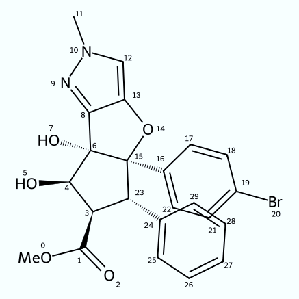 COC(=O)[C@H]1[C@@H](O)[C@@]2(O)c3nn(C)cc3O[C@@]2(c2ccc(Br)cc2)[C@@H]1c1ccccc1